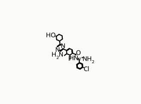 CC1C(c2nc(C3CCCC(O)C3)cnc2N)=CC=C(C(=O)N[C@H](CN)c2cccc(Cl)c2)C1F